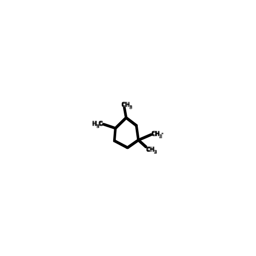 [CH2]C1(C)CCC(C)C(C)C1